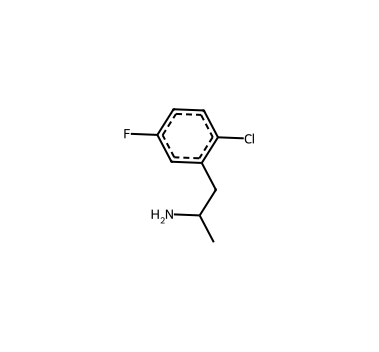 CC(N)Cc1cc(F)ccc1Cl